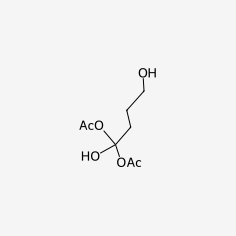 CC(=O)OC(O)(CCCO)OC(C)=O